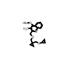 CCCCOc1c(C)c(COCC2(COC3CC3)CC2)nc2ccccc12